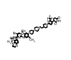 CCc1cc(Nc2ncc(Br)c(Nc3ccc4nccnc4c3P(C)(C)=O)n2)c(OC)cc1N1CCC(N2CCN(CCC3CCN(c4ccc(C5CCC(=O)NC5=O)c(C(F)(F)F)n4)CC3)CC2)CC1